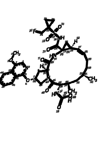 COc1cnc(O[C@@H]2C[C@H]3C(=O)N[C@]4(C(=O)NS(=O)(=O)C5(CF)CC5)C[C@H]4C=CCC[C@H](C)C[C@@H](C)[C@H](NC(=O)O)C(=O)N3C2)c2ccccc12